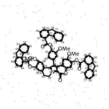 COc1cc(-c2c3n(c4c(=O)oc5cc(OC(=O)c6cccc7c6-c6ccccc6C7)c(OC)cc5c24)CCc2cc(OC(=O)c4cccc5c4-c4ccccc4C5)c(OC)cc2-3)ccc1OC(=O)c1cccc2c1-c1ccccc1C2